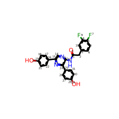 O=C(Cc1ccc(F)c(F)c1)Nc1ncc(-c2ccc(O)cc2)nc1-c1ccc(O)cc1